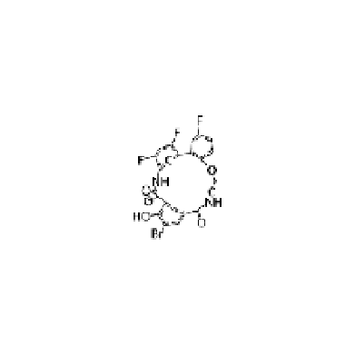 O=C1NCCOc2ccc(F)cc2-c2cc(c(F)cc2F)NS(=O)(=O)c2cc1cc(Br)c2O